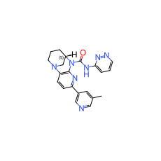 Cc1cncc(-c2ccc3c(n2)N(C(=O)Nc2cccnn2)[C@H]2CCCN3C2)c1